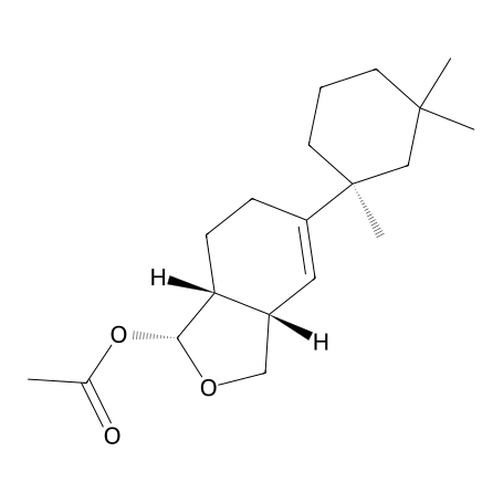 CC(=O)O[C@H]1OC[C@H]2C=C([C@@]3(C)CCCC(C)(C)C3)CC[C@@H]12